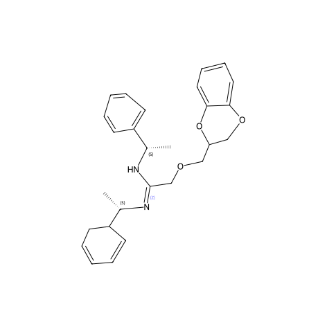 C[C@H](N/C(COCC1COc2ccccc2O1)=N\[C@@H](C)C1C=CC=CC1)c1ccccc1